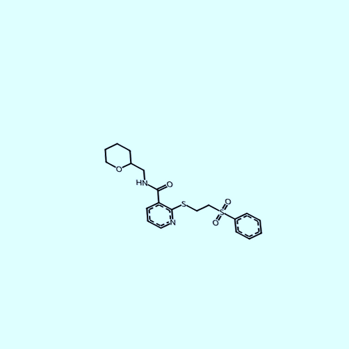 O=C(NCC1CCCCO1)c1cccnc1SCCS(=O)(=O)c1ccccc1